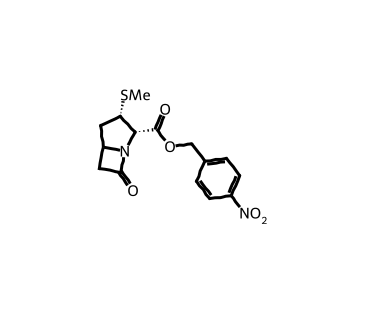 CS[C@H]1CC2CC(=O)N2[C@H]1C(=O)OCc1ccc([N+](=O)[O-])cc1